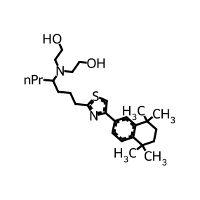 CCCC(CCCc1nc(-c2ccc3c(c2)C(C)(C)CCC3(C)C)cs1)N(CCO)CCO